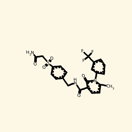 Cc1ccc(C(=O)NCc2ccc(S(=O)(=O)CC(N)=O)cc2)c(=O)n1-c1cccc(C(F)(F)F)c1